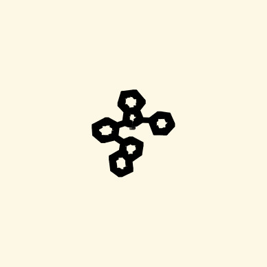 c1ccc(-c2sc(-c3ccccc3-c3cccc4ccccc34)c3ccccc23)cc1